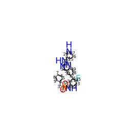 O=S(=O)(Cc1ccccc1)Nc1ccc(F)c(-c2ccc3nc(NC4CCCNC4)ncc3c2)c1